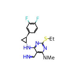 CCSc1nc(NC)c(C=N)c(N[C@@H]2C[C@H]2c2ccc(F)c(F)c2)n1